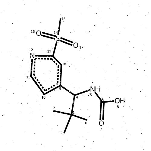 CC(C)(C)C(NC(=O)O)c1ccnc(S(C)(=O)=O)c1